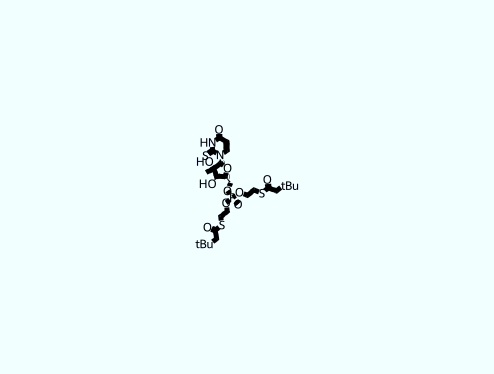 CC(C)(C)CC(=O)SCCOP(=O)(OCCSC(=O)CC(C)(C)C)OC[C@H]1O[C@@H](n2ccc(=O)[nH]c2=S)C(C)(O)[C@H]1O